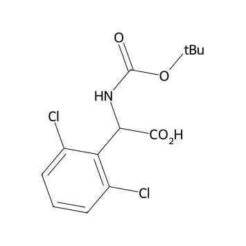 CC(C)(C)OC(=O)NC(C(=O)O)c1c(Cl)cccc1Cl